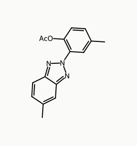 CC(=O)Oc1ccc(C)cc1-n1nc2ccc(C)cc2n1